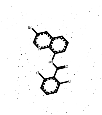 O=C(Nc1cccc2cc(Br)cnc12)c1c(Cl)cccc1Cl